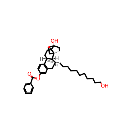 C[C@]12CC[C@@H]3c4ccc(OC(=O)c5ccccc5)cc4C[C@@H](CCCCCCCCCCCO)[C@H]3[C@]13CC[C@]2(O)CC3